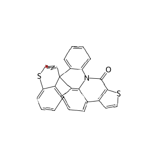 O=c1c2sccc2c2cccc3c2n1-c1ccccc1C31c2ccccc2Sc2ccccc21